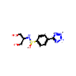 [O-][S+](NC(CO)CO)c1ccc(-c2nn[nH]n2)cc1